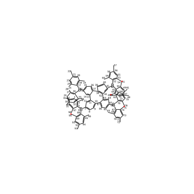 Cc1cc(C)c(B(c2ccc3c(c2)-c2cc(B(c4c(C)cc(C)cc4C)c4c(C)cc(C)cc4C)ccc2-c2ccc(B(c4c(C)cc(C)cc4C)c4c(C)cc(C)cc4C)cc2-c2cc(B(c4c(C)cc(C)cc4C)c4c(C)cc(C)cc4C)ccc2-3)c2c(C)cc(C)cc2C)c(C)c1